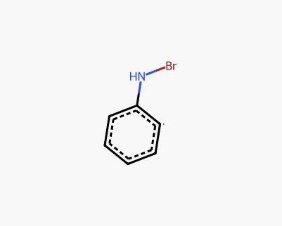 BrNc1[c]cccc1